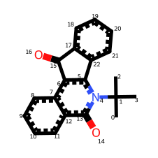 CC(C)(C)n1c2c(c3ccccc3c1=O)C(=O)c1ccccc1-2